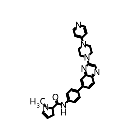 CN1C=CCC1C(=O)Nc1ccc(-c2ccc3ncc(N4CCN(c5ccncc5)CC4)nc3c2)cc1